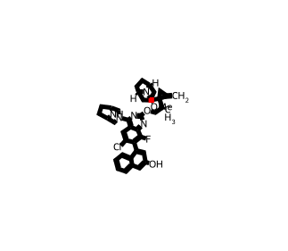 C=C1CC1(CN1[C@@H]2CC[C@H]1C[C@@H](OC)C2)[C@@H](C)COc1nc(N2CC3CCC(C2)N3)c2cc(Cl)c(-c3cc(O)cc4ccccc34)c(F)c2n1